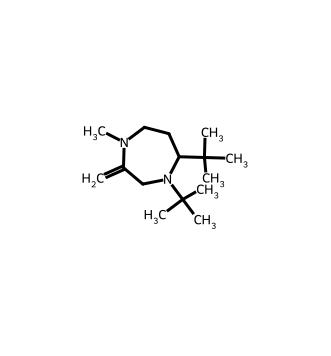 C=C1CN(C(C)(C)C)C(C(C)(C)C)CCN1C